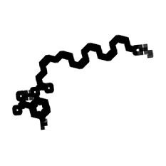 CC/C=C\C/C=C\C/C=C\C/C=C\C/C=C\C/C=C\CCC(=O)Oc1ccc(F)cc1C(=O)O